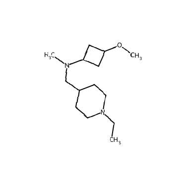 CCN1CCC(CN(C)C2CC(OC)C2)CC1